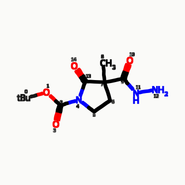 CC(C)(C)OC(=O)N1CCC(C)(C(=O)NN)C1=O